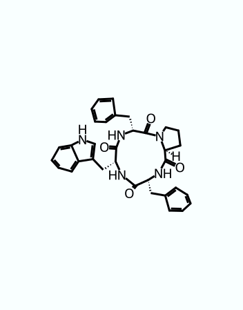 O=C1N[C@H](Cc2ccccc2)C(=O)N2CCC[C@H]2C(=O)N[C@H](Cc2ccccc2)C(=O)N[C@@H]1Cc1c[nH]c2ccccc12